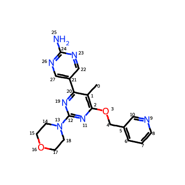 Cc1c(OCc2cccnc2)nc(N2CCOCC2)nc1-c1cnc(N)nc1